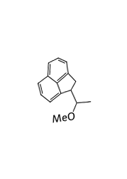 COC(C)C1Cc2cccc3cccc1c23